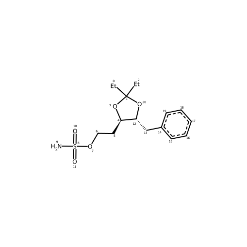 CCC1(CC)O[C@H](CCOS(N)(=O)=O)[C@@H](Cc2ccccc2)O1